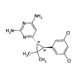 CC1(C)[C@H](c2cc(Cl)cc(Cl)c2)[C@H]1c1cc(N)nc(N)n1